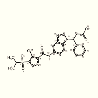 CC(C)S(=O)(=O)c1csc(C(=O)Nc2ccc3c(c2)ncn3C(CC(=O)O)c2ccccc2)c1Cl